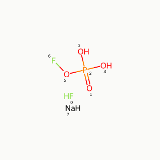 F.O=P(O)(O)OF.[NaH]